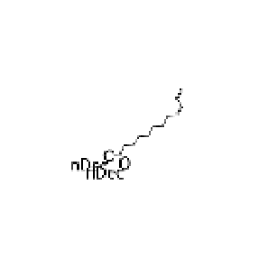 C=C/C=C\CCCCCCCC(OCCCCCCCCCC)OCCCCCCCCCC